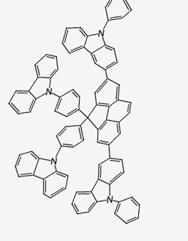 c1ccc(-n2c3ccccc3c3cc(-c4cc5c6c(ccc7cc(-c8ccc9c(c8)c8ccccc8n9-c8ccccc8)cc(c76)C5(c5ccc(-n6c7ccccc7c7ccccc76)cc5)c5ccc(-n6c7ccccc7c7ccccc76)cc5)c4)ccc32)cc1